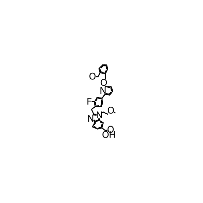 COCCn1c(Cc2ccc(-c3cccc(OCc4ccccc4COC)n3)cc2F)nc2ccc(C(=O)O)cc21